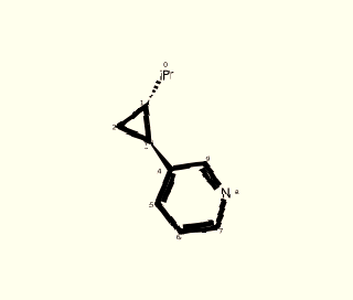 CC(C)[C@H]1C[C@@H]1c1cccnc1